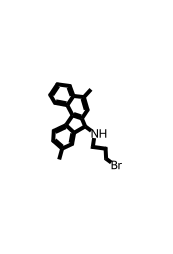 Cc1ccc2c(c1)C(NCCCBr)c1cc(C)c3ccccc3c1-2